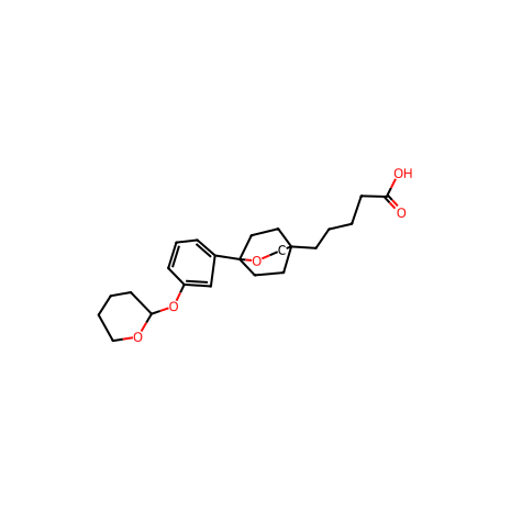 O=C(O)CCCCC12CCC(c3cccc(OC4CCCCO4)c3)(CC1)OC2